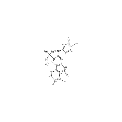 [2H]C([2H])([2H])N(C(=O)Nc1ccc(F)c(Cl)c1)[C@@H](C)c1c[nH]c(=O)c2c(F)c(F)ccc12